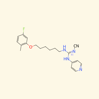 Cc1ccc(F)cc1OCCCCCCN/C(=N\C#N)Nc1ccncc1